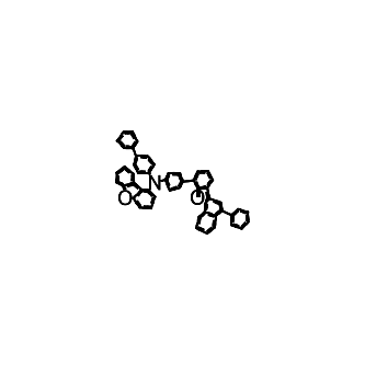 c1ccc(-c2ccc(N(c3ccc(-c4cccc5c4oc4c6ccccc6c(-c6ccccc6)cc54)cc3)c3cccc4oc5ccccc5c34)cc2)cc1